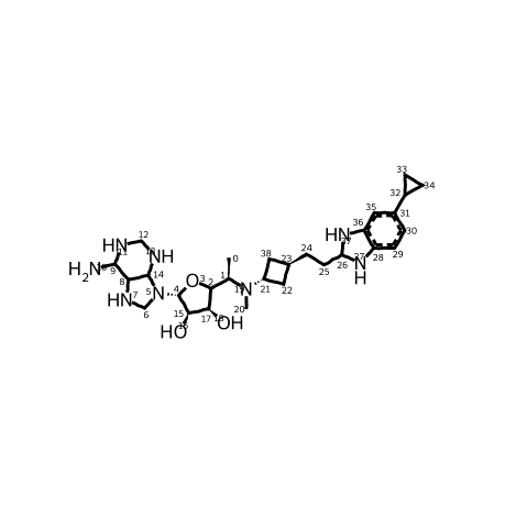 C[C@H](C1O[C@@H](N2CNC3C(N)NCNC32)[C@H](O)[C@@H]1O)N(C)[C@H]1C[C@H](CCC2Nc3ccc(C4CC4)cc3N2)C1